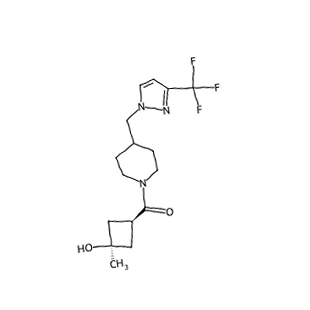 C[C@]1(O)C[C@@H](C(=O)N2CCC(Cn3ccc(C(F)(F)F)n3)CC2)C1